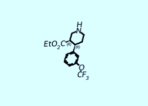 CCOC(=O)[C@H]1CNCC[C@H]1c1cccc(OC(F)(F)F)c1